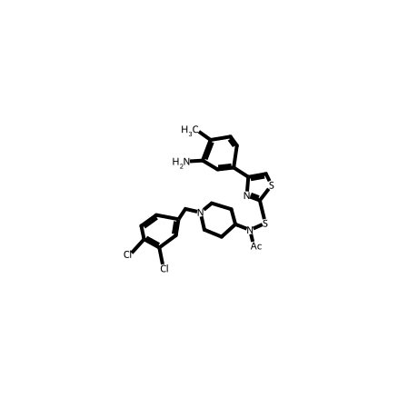 CC(=O)N(Sc1nc(-c2ccc(C)c(N)c2)cs1)C1CCN(Cc2ccc(Cl)c(Cl)c2)CC1